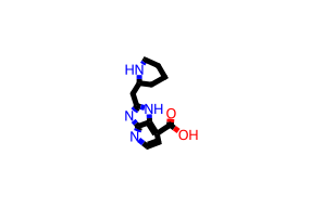 O=C(O)c1ccnc2nc(CC3CCCCN3)[nH]c12